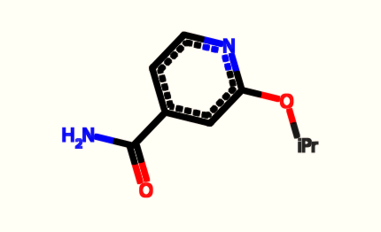 CC(C)Oc1cc(C(N)=O)ccn1